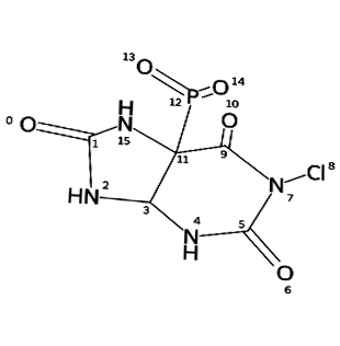 O=C1NC2NC(=O)N(Cl)C(=O)C2(P(=O)=O)N1